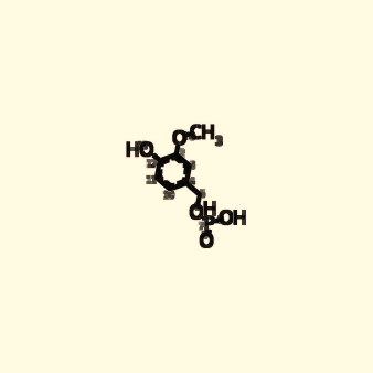 COc1cc(CO[PH](=O)O)ccc1O